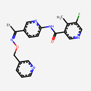 CCC(=NOCc1cccnc1)c1ccc(NC(=O)c2cncc(F)c2C)nc1